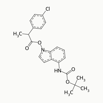 CC(C(=O)On1ccc2c(NC(=O)OC(C)(C)C)cccc21)c1ccc(Cl)cc1